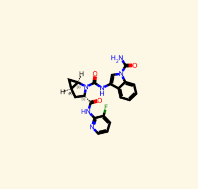 NC(=O)n1cc(NC(=O)N2[C@@H]3C[C@@H]3C[C@H]2C(=O)Nc2ncccc2F)c2ccccc21